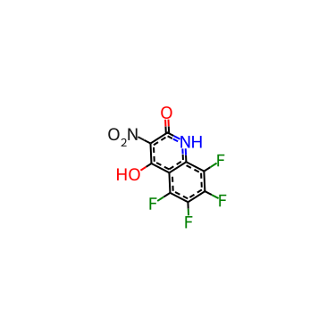 O=c1[nH]c2c(F)c(F)c(F)c(F)c2c(O)c1[N+](=O)[O-]